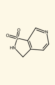 O=S1(=O)NCc2ccncc21